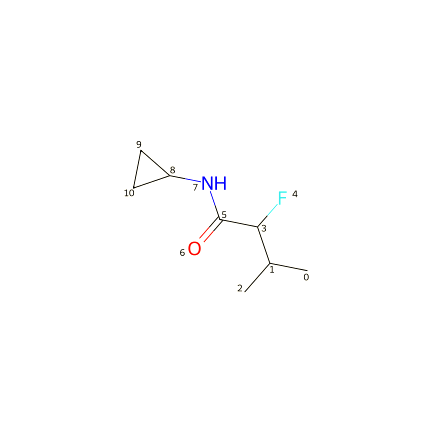 CC(C)C(F)C(=O)NC1CC1